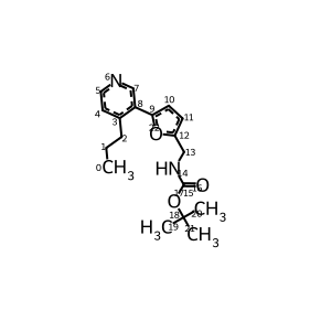 CCCc1ccncc1-c1ccc(CNC(=O)OC(C)(C)C)o1